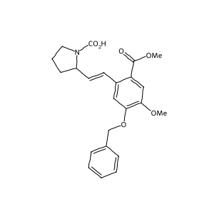 COC(=O)c1cc(OC)c(OCc2ccccc2)cc1C=CC1CCCN1C(=O)O